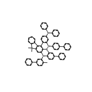 Cc1ccc(-c2ccccc2)cc1N1c2ccc(-c3ccccc3)cc2B2c3c1cc1c(c3-c3ccc(N(c4ccccc4)c4ccccc4)cc3N2c2ccc(-c3ccccc3)cc2)-c2ccccc2C1(C)C